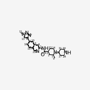 CC1CC(C(=O)Nc2cc3cc(-c4cn(C)nn4)ccc3cn2)CCN1C1CCNCC1